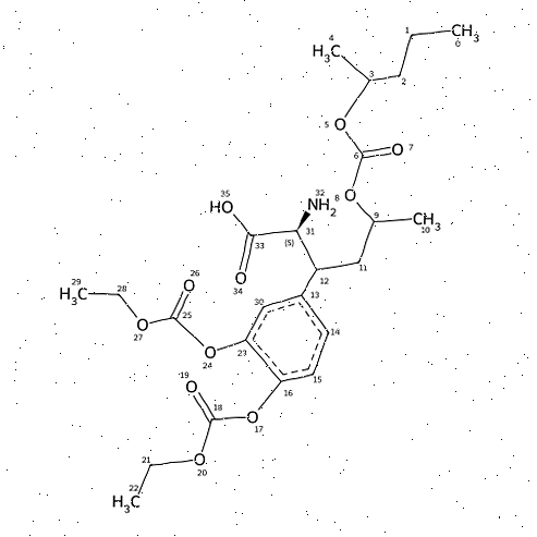 CCCC(C)OC(=O)OC(C)CC(c1ccc(OC(=O)OCC)c(OC(=O)OCC)c1)[C@H](N)C(=O)O